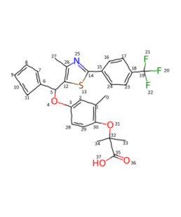 Cc1cc(OC(c2ccccc2)c2sc(-c3ccc(C(F)(F)F)cc3)nc2C)ccc1OC(C)(C)C(=O)O